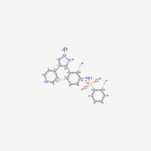 CCn1cc(-c2ccncc2)c(-c2c(F)ccc(NS(=O)(=O)c3ccccc3F)c2F)n1